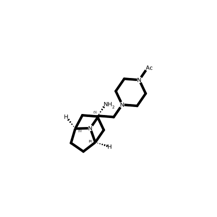 CC(=O)N1CCN(CCN2[C@@H]3CC[C@H]2C[C@H](N)C3)CC1